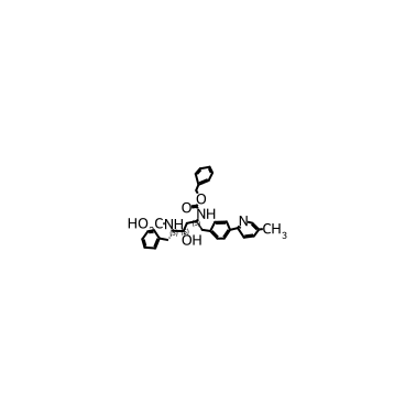 Cc1ccc(-c2ccc(C[C@@H](C[C@H](O)[C@H](Cc3ccccc3)NC(=O)O)NC(=O)OCc3ccccc3)cc2)nc1